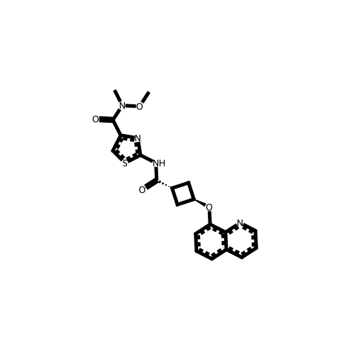 CON(C)C(=O)c1csc(NC(=O)[C@H]2C[C@H](Oc3cccc4cccnc34)C2)n1